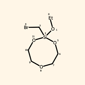 CCO[Si]1(CBr)OCCOCCO1